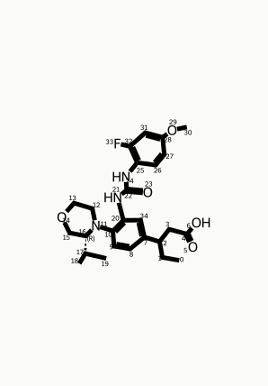 CCC(CC(=O)O)c1ccc(N2CCOC[C@H]2C(C)C)c(NC(=O)Nc2ccc(OC)cc2F)c1